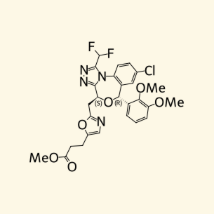 COC(=O)CCc1cnc(C[C@@H]2O[C@@H](c3cccc(OC)c3OC)c3cc(Cl)ccc3-n3c(C(F)F)nnc32)o1